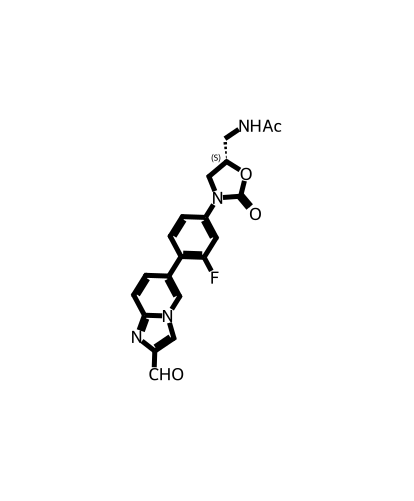 CC(=O)NC[C@H]1CN(c2ccc(-c3ccc4nc(C=O)cn4c3)c(F)c2)C(=O)O1